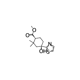 COC(=O)[C@H]1CC[C@](O)(c2nccs2)CC1(C)C